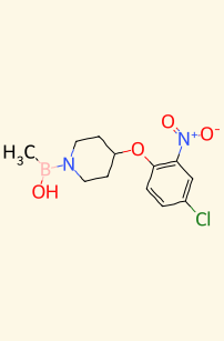 CB(O)N1CCC(Oc2ccc(Cl)cc2[N+](=O)[O-])CC1